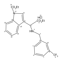 CCOC(=O)C(NCc1cccc(C(F)(F)F)c1)c1cn(C(=O)OCC)c2ccccc12.Cl